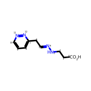 O=C(O)CCNN=CCc1cccnn1